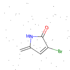 C=C1C=C(Br)C(=O)N1